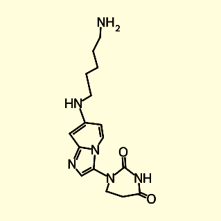 NCCCCCNc1ccn2c(N3CCC(=O)NC3=O)cnc2c1